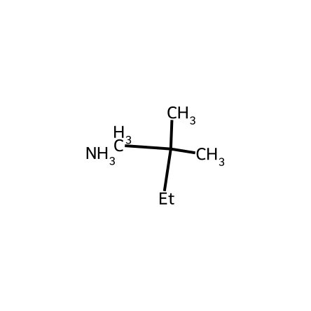 CCC(C)(C)C.N